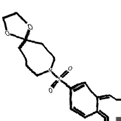 O=S(=O)(c1ccc2ccccc2c1)N1CCCC2(CC1)OCCO2